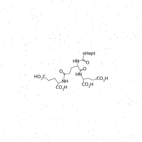 CCCCCCCC(=O)NC(CCC(=O)NC(CCC(=O)O)C(=O)O)C(=O)NC(CCC(=O)O)C(=O)O